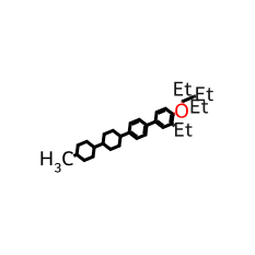 CCc1cc(-c2ccc(C3CCC(C4CCC(C)CC4)CC3)cc2)ccc1OCC(CC)(CC)CC